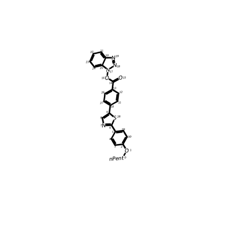 CCCCCOc1ccc(-c2ncc(-c3ccc(C(=O)On4nnc5ccccc54)cc3)s2)cc1